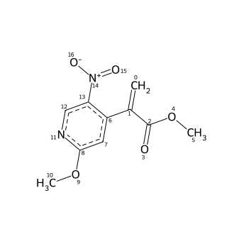 C=C(C(=O)OC)c1cc(OC)ncc1[N+](=O)[O-]